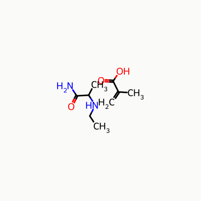 C=C(C)C(=O)O.CCNC(C)C(N)=O